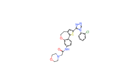 O=C(CN1CCOCC1)Nc1ccc2c(c1)OCCc1cc(-c3nncn3-c3ccccc3Cl)sc1-2